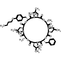 CCCCOc1ccc(C[C@H]2OC(=O)[C@H](CC(C)C)N(C)C(=O)[C@@H](C)OC(=O)[C@H](CC(C)C)N(C)C(=O)[C@@H](Cc3ccccc3)OC(=O)[C@H](CC(C)C)N(C)C(=O)[C@@H](C)OC(=O)[C@H](CC(C)C)N(C)C2=O)cc1